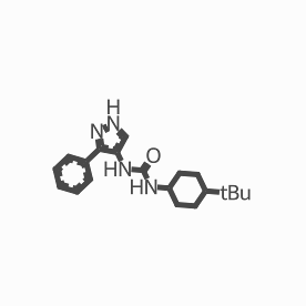 CC(C)(C)C1CCC(NC(=O)Nc2c[nH]nc2-c2ccccc2)CC1